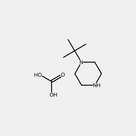 CC(C)(C)N1CCNCC1.O=C(O)O